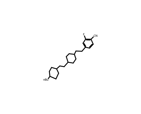 CCCCC1CCC(CCC2CCC(CCc3ccc(C#N)c(F)c3)CC2)CC1